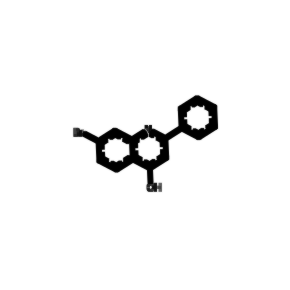 Oc1cc(-c2ccccc2)nc2cc(Br)ccc12